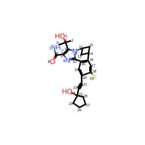 CC(C)(O)c1c(C(N)=O)nc2n1C1CC(C1)c1cc(F)c(C#CC3(O)CCCC3)cc1-2